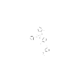 COc1c(OCc2cccc(C(N)=O)c2)cccc1[C@H]1SC(c2ccc(F)cc2)=NN1C(=O)c1c(F)cc(F)cc1F